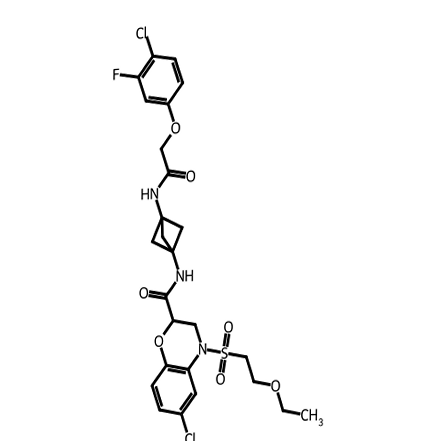 CCOCCS(=O)(=O)N1CC(C(=O)NC23CC(NC(=O)COc4ccc(Cl)c(F)c4)(C2)C3)Oc2ccc(Cl)cc21